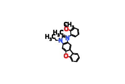 CCN1c2cc3oc4ccccc4c3cc2N(c2ccccc2OC)[C@H]1C